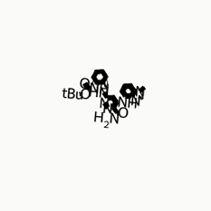 Cn1cnc2c(Nc3cc(NC[C@@H]4CCCC[C@@H]4NC(=O)OC(C)(C)C)nnc3C(N)=O)cccc21